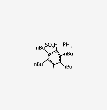 CCCCc1c(C)c(CCCC)c(CCCC)c(S(=O)(=O)O)c1CCCC.P